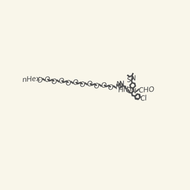 CCCCCCOCCOCCOCCOCCOCCOCCOCCOCCOCCOCCOCCn1cc(CNOCC(Cc2ccc(Cl)cc2)N(CCC=O)C2CCC(C3=NC(C)C(C)S3)CC2)nn1